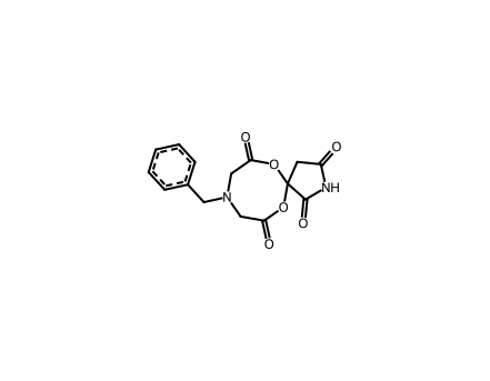 O=C1CC2(OC(=O)CN(Cc3ccccc3)CC(=O)O2)C(=O)N1